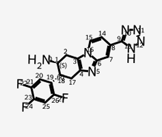 N[C@H]1Cc2c(nc3cc(-c4nnn[nH]4)ccn23)C[C@@H]1c1cc(F)c(F)cc1F